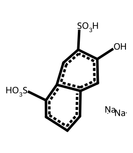 O=S(=O)(O)c1cc2c(S(=O)(=O)O)cccc2cc1O.[Na].[Na]